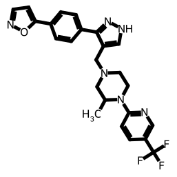 CC1CN(Cc2c[nH]nc2-c2ccc(-c3ccno3)cc2)CCN1c1ccc(C(F)(F)F)cn1